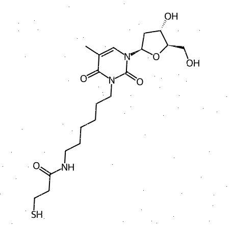 Cc1cn([C@H]2C[C@H](O)[C@@H](CO)O2)c(=O)n(CCCCCCNC(=O)CCS)c1=O